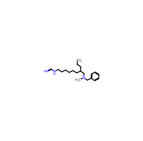 CCCC(CCCCCCNC=N)CN(C)Cc1ccccc1